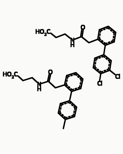 Cc1ccc(-c2ccccc2CC(=O)NCCC(=O)O)cc1.O=C(O)CCNC(=O)Cc1ccccc1-c1ccc(Cl)c(Cl)c1